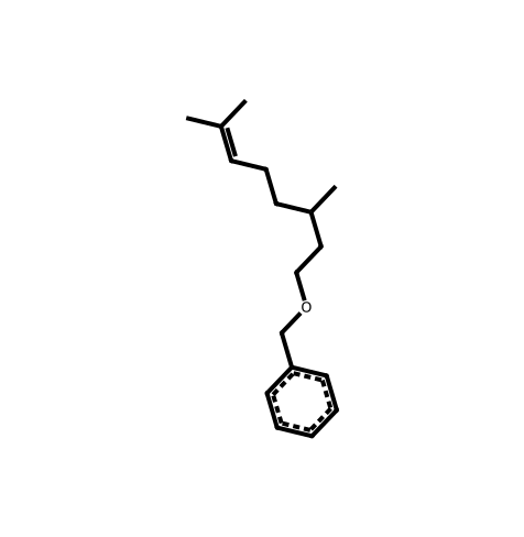 CC(C)=CCCC(C)CCOCc1ccccc1